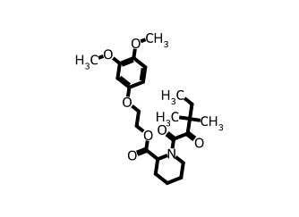 CCC(C)(C)C(=O)C(=O)N1CCCCC1C(=O)OCCOc1ccc(OC)c(OC)c1